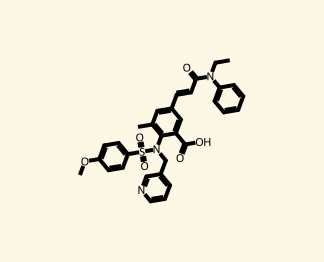 CCN(C(=O)C=Cc1cc(C)c(N(Cc2cccnc2)S(=O)(=O)c2ccc(OC)cc2)c(C(=O)O)c1)c1ccccc1